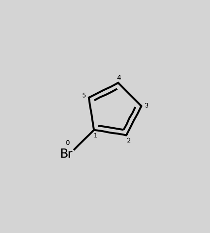 BrC1=C=CC=C1